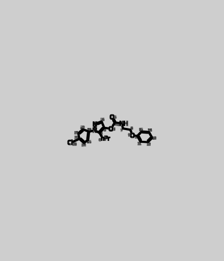 CCCc1c(OC(=O)NCCOc2ccccc2)cnn1-c1ccc(Cl)cc1